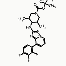 CC1CN(C(=O)OC(C)(C)C)CC(C)C1Nc1nc2c(-c3ccc(F)c(F)c3F)cccn2n1